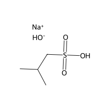 CC(C)CS(=O)(=O)O.[Na+].[OH-]